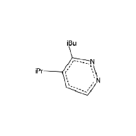 CCC(C)c1nnccc1C(C)C